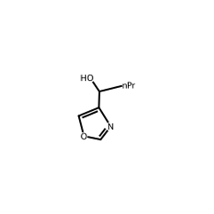 CCCC(O)c1cocn1